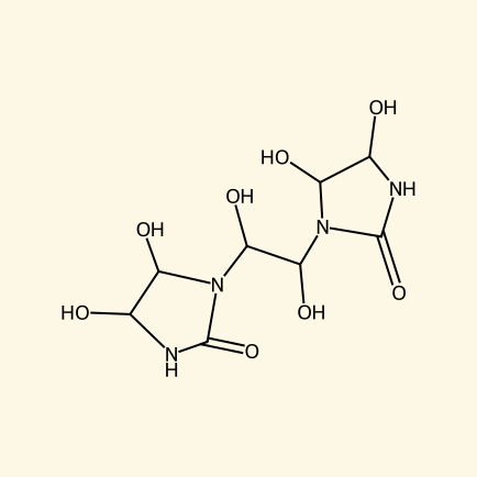 O=C1NC(O)C(O)N1C(O)C(O)N1C(=O)NC(O)C1O